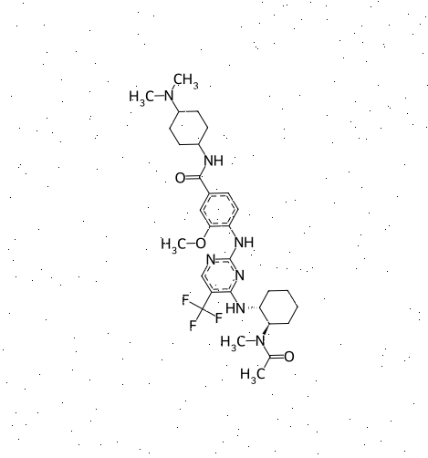 COc1cc(C(=O)NC2CCC(N(C)C)CC2)ccc1Nc1ncc(C(F)(F)F)c(N[C@@H]2CCCC[C@H]2N(C)C(C)=O)n1